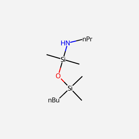 CCCC[Si](C)(C)O[Si](C)(C)NCCC